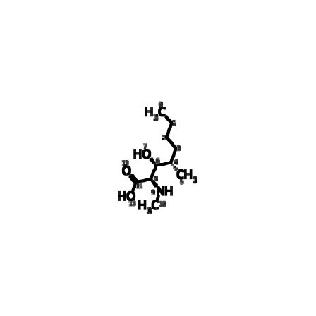 CCCC[C@H](C)[C@H](O)[C@@H](NC)C(=O)O